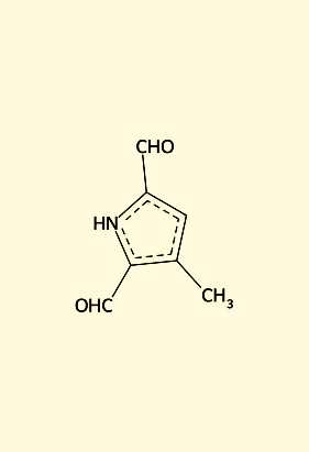 Cc1cc(C=O)[nH]c1C=O